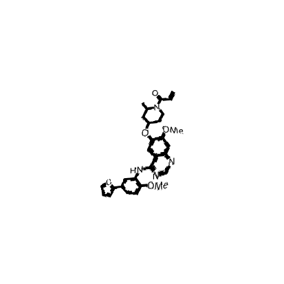 C=CC(=O)N1CCC(Oc2cc3c(Nc4cc(-c5ccco5)ccc4OC)ncnc3cc2OC)CC1C